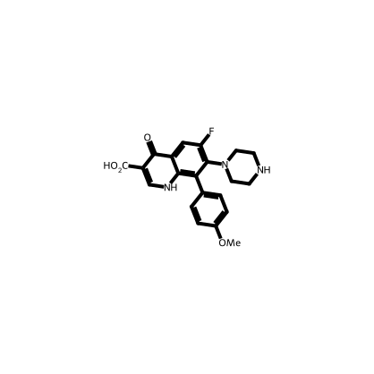 COc1ccc(-c2c(N3CCNCC3)c(F)cc3c(=O)c(C(=O)O)c[nH]c23)cc1